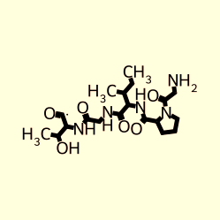 CCC(C)C(NC(=O)C1CCCN1C(=O)CN)C(=O)NCC(=O)NC([C]=O)C(C)O